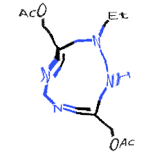 CCN1NC(OC(C)=O)=NN=C1OC(C)=O